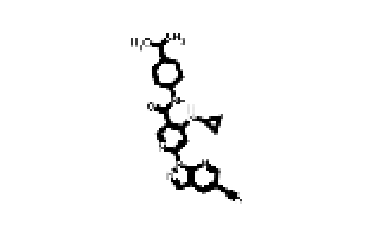 CC(C)C1CCC(NC(=O)c2cnc(-n3ncc4cc(C#N)cnc43)cc2NC2CC2)CC1